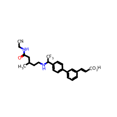 CC(CCNC(c1ccc(-c2cccc(C=CC(=O)O)c2)cc1)C(F)(F)F)CC(=O)NCC#N